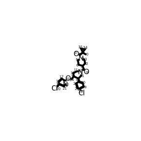 CC1(C(=O)N2CCC(C(=O)N3CCC(COc4ccc(Cl)cn4)C(c4ccc(Cl)cc4)C3)CC2)CC1